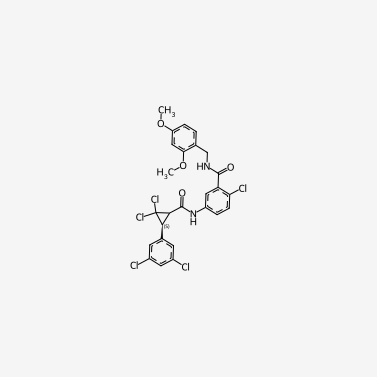 COc1ccc(CNC(=O)c2cc(NC(=O)C3[C@@H](c4cc(Cl)cc(Cl)c4)C3(Cl)Cl)ccc2Cl)c(OC)c1